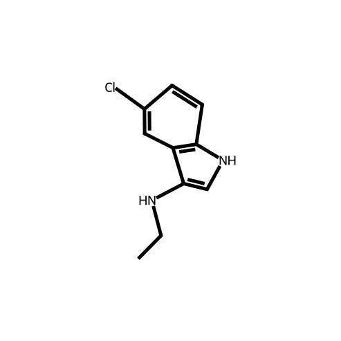 CCNc1c[nH]c2ccc(Cl)cc12